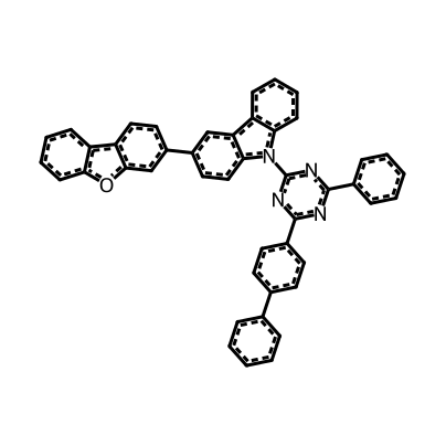 c1ccc(-c2ccc(-c3nc(-c4ccccc4)nc(-n4c5ccccc5c5cc(-c6ccc7c(c6)oc6ccccc67)ccc54)n3)cc2)cc1